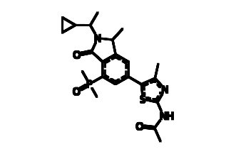 CC(=O)Nc1nc(C)c(-c2cc3c(c(P(C)(C)=O)c2)C(=O)N(C(C)C2CC2)C3C)s1